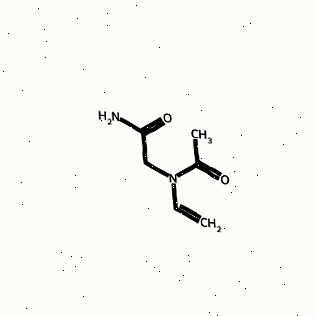 C=CN(CC(N)=O)C(C)=O